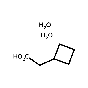 O.O.O=C(O)CC1CCC1